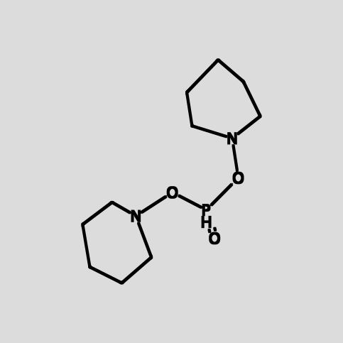 O=[PH](ON1CCCCC1)ON1CCCCC1